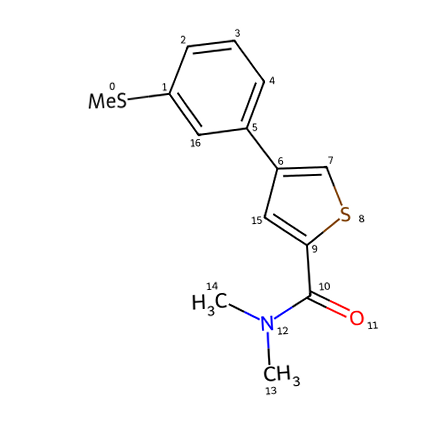 CSc1cccc(-c2csc(C(=O)N(C)C)c2)c1